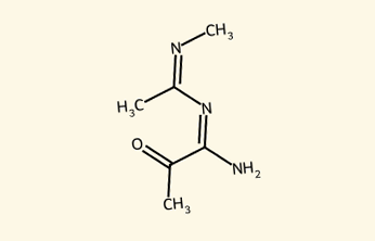 C/N=C(C)\N=C(\N)C(C)=O